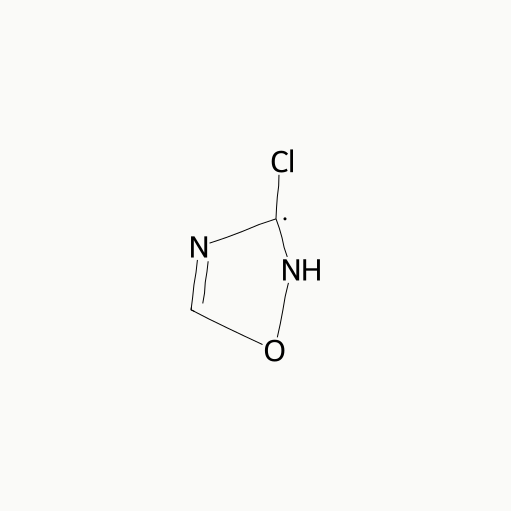 Cl[C]1N=CON1